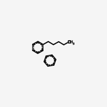 CCCCCc1ccccc1.c1ccccc1